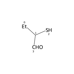 CCC(S)C=O